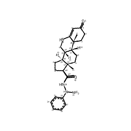 C[C@]12CCC(=O)C=C1NC[C@@H]1[C@H]2CC[C@]2(C)C(C(=O)NN(N)c3ccccc3)CC[C@@H]12